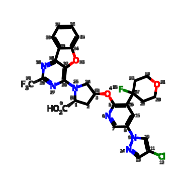 O=C(O)[C@@H]1C[C@H](Oc2ncc(-n3cc(Cl)cn3)cc2C2(F)CCOCC2)CN1c1nc(C(F)(F)F)nc2c1oc1ccccc12